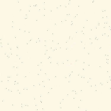 Brc1cccc2oc3ccc(-c4cccc5sc6ccccc6c45)cc3c12